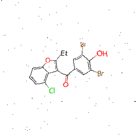 CCc1oc2cccc(Cl)c2c1C(=O)c1cc(Br)c(O)c(Br)c1